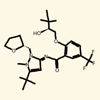 Cn1c(C(C)(C)C)cc(=NC(=O)c2cc(C(F)(F)F)ccc2OC[C@@H](O)C(C)(C)C)n1C[C@H]1CCCO1